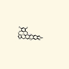 Cn1cnc(Cn2cn/c(=N\c3cc4cn(C)nc4cc3Cl)n(Cc3cc(F)c(F)cc3F)c2=O)n1